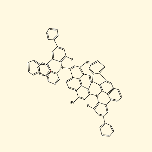 CC(C)c1cc(N(c2c(F)cc(-c3ccccc3)cc2-c2ccccc2)c2cccc3c2sc2ccccc23)c2ccc3c(C(C)C)cc(N(c4c(F)cc(-c5ccccc5)cc4-c4ccccc4)c4cccc5c4sc4ccccc45)c4ccc1c2c34